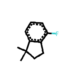 CC1(C)CCc2c(F)cccc21